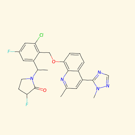 Cc1cc(-c2ncnn2C)c2cccc(OCc3c(Cl)cc(F)cc3C(C)N3CCC(F)C3=O)c2n1